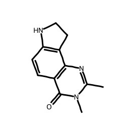 Cc1nc2c3c(ccc2c(=O)n1C)NCC3